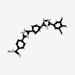 COC(=O)c1ccc(-c2nnc(-c3ccc(-c4nnc(-c5cc(C)c(C)c(C)c5)o4)cc3)o2)cc1